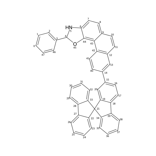 c1ccc(C2Nc3ccc4ccc5cc(-c6ccc7c(c6)C6(c8ccccc8-c8ccccc86)c6ccccc6-7)ccc5c4c3O2)cc1